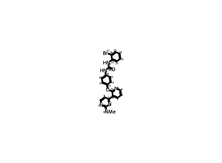 CNc1nccc(-c2cccnc2Oc2ccc(NC(=O)Nc3ccccc3Br)cc2)n1